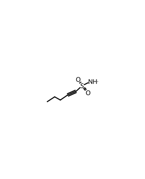 CCCC#CS([NH])(=O)=O